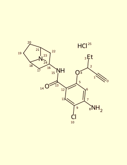 C#CC(CC)Oc1cc(N)c(Cl)cc1C(=O)NC1CC2CCC(C1)N2C.Cl